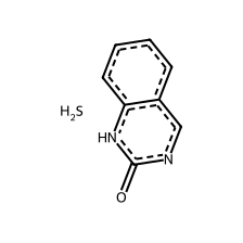 O=c1ncc2ccccc2[nH]1.S